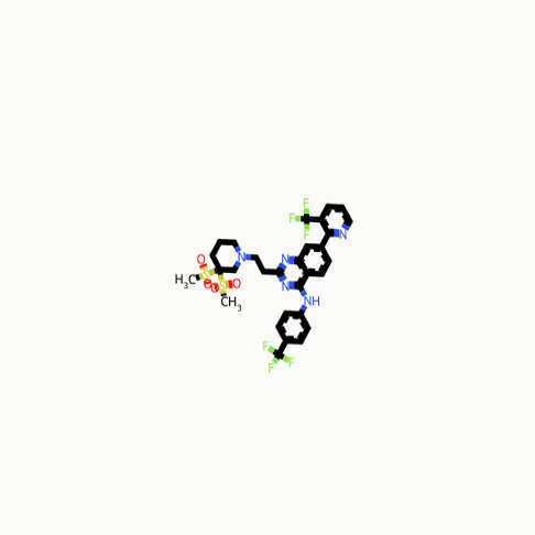 CS(=O)(=O)C1(S(C)(=O)=O)CCCN(CCc2nc(Nc3ccc(C(F)(F)F)cc3)c3ccc(-c4ncccc4C(F)(F)F)cc3n2)C1